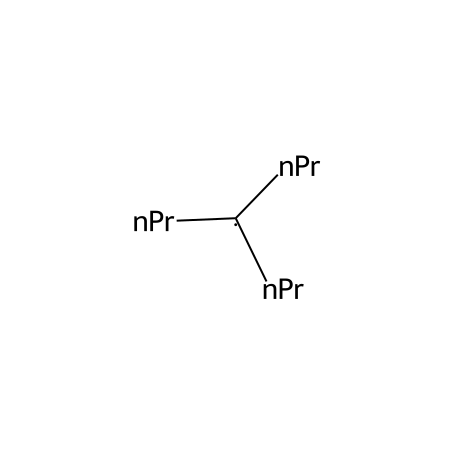 [CH2]CC[C](CCC)CCC